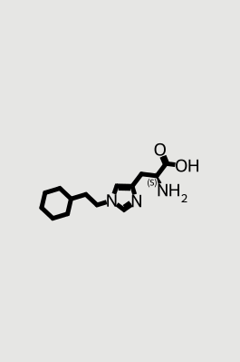 N[C@@H](Cc1cn(CCC2CCCCC2)cn1)C(=O)O